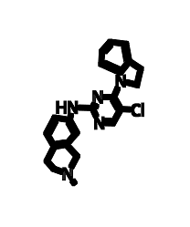 CN1CCc2ccc(Nc3ncc(Cl)c(N4CCc5ccccc54)n3)cc2C1